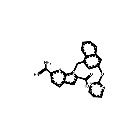 N=C(N)c1ccc2cc(C(=O)O)n(Cc3cc(Oc4ncccn4)cc4ccccc34)c2n1